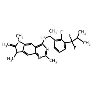 C=C1C(C)c2cc3nc(C)nc(N[C@H](C)c4cccc(C(F)(F)C(C)C)c4F)c3cc2N1C